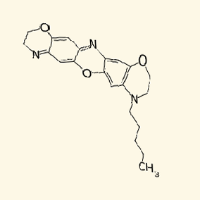 CCCCCN1CCOc2cc3c(cc21)Oc1cc2c(cc1=N3)OCCN=2